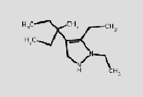 CCC1=C(C(C)(CC)CC)CNN1CC